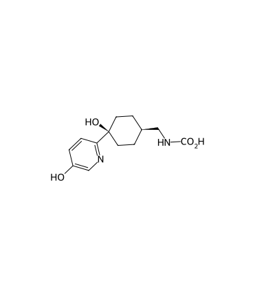 O=C(O)NC[C@H]1CC[C@](O)(c2ccc(O)cn2)CC1